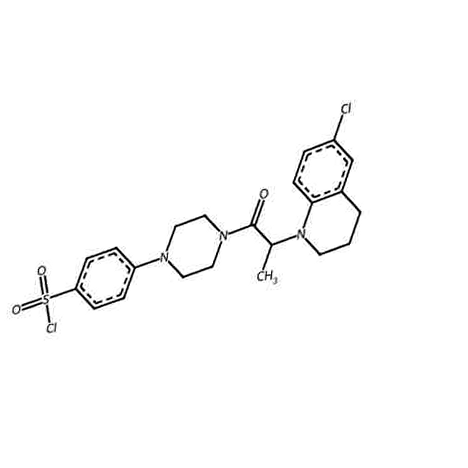 CC(C(=O)N1CCN(c2ccc(S(=O)(=O)Cl)cc2)CC1)N1CCCc2cc(Cl)ccc21